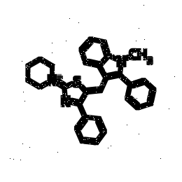 Cn1c(-c2ccccc2)c(/C=C2\SC(=[N+]3CCCCC3)N=C2c2ccccc2)c2ccccc21